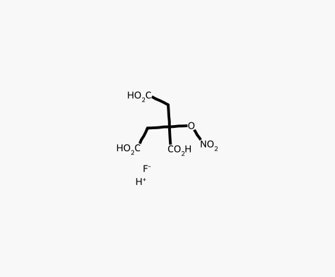 O=C(O)CC(CC(=O)O)(O[N+](=O)[O-])C(=O)O.[F-].[H+]